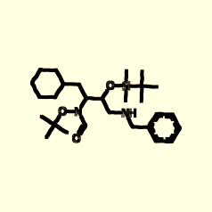 CC(C)(C)ON(C=O)C(CC1CCCCC1)C(CNCc1ccccc1)O[Si](C)(C)C(C)(C)C